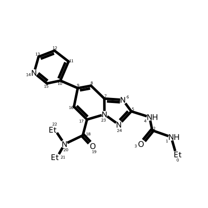 CCNC(=O)Nc1nc2cc(-c3cccnc3)cc(C(=O)N(CC)CC)n2n1